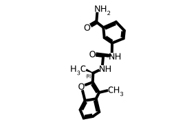 Cc1c([C@@H](C)NC(=O)Nc2cccc(C(N)=O)c2)oc2ccccc12